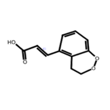 O=C(O)/C=C/c1cccc2c1CCOO2